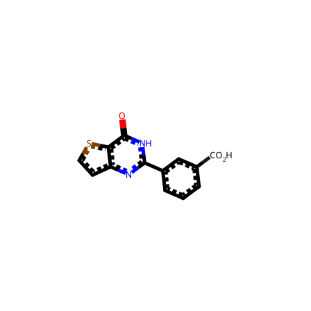 O=C(O)c1cccc(-c2nc3ccsc3c(=O)[nH]2)c1